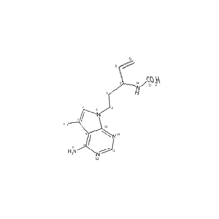 C=CC(CCn1cc(I)c2c(N)ncnc21)NC(=O)O